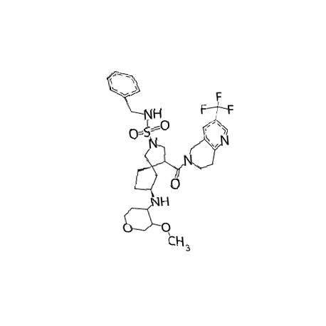 COC1COCCC1N[C@H]1CC[C@@]2(C1)CN(S(=O)(=O)NCc1ccccc1)CC2C(=O)N1CCc2ncc(C(F)(F)F)cc2C1